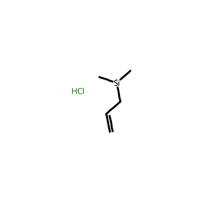 C=CC[Si](C)C.Cl